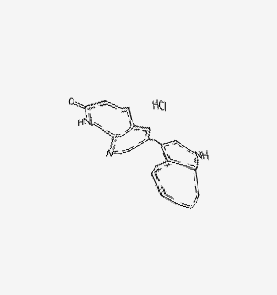 Cl.O=c1ccc2cc(-c3c[nH]c4ccccc34)cnc2[nH]1